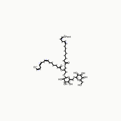 CC/C=C\C/C=C\C/C=C\CCCCCC(=O)OC(COC(=O)CCCCCCC/C=C\C/C=C\CCCCC)COC1OC(COC2OC(CO)C(O)C(O)C2O)C(O)C(O)C1O